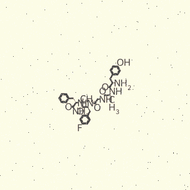 C[C@@H](NC(=O)[C@@H](N)Cc1ccc(O)cc1)C(=O)NCC(=O)N[C@@H](Cc1ccc(F)cc1)C(=O)N(C)[C@@H](Cc1ccccc1)C(N)=O